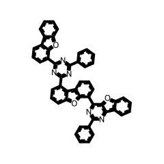 c1ccc(-c2nc(-c3cccc4c3oc3ccccc34)nc(-c3cccc4oc5c(-c6nc(-c7ccccc7)nc7c6oc6ccccc67)cccc5c34)n2)cc1